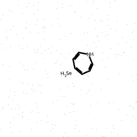 C1=CC=CNC=C1.[SeH2]